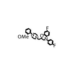 COc1ccccc1N1CCN(CC2CN(c3ccc(F)cc3)c3ccc(F)cc3O2)CC1